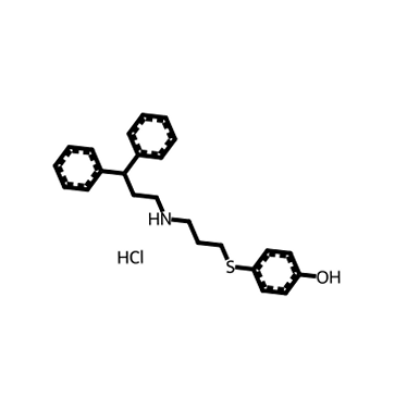 Cl.Oc1ccc(SCCCNCCC(c2ccccc2)c2ccccc2)cc1